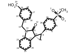 CS(=O)(=O)c1ccc([C@H]2C[C@]23C(=O)N(Cc2cccc(C(=O)O)c2)c2ccccc23)cc1